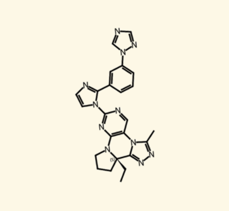 CC[C@@]12CCCN1c1nc(-n3ccnc3-c3cccc(-n4cncn4)c3)ncc1-n1c(C)nnc12